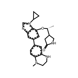 C[C@@H](Oc1cc(-c2ccc3c(c2)NCCN3C)cc2ncn(C3CC3)c12)C1CNC(=O)C1